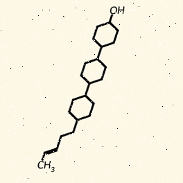 C/C=C/CCC1CCC(C2CCC(C3CCC(O)CC3)CC2)CC1